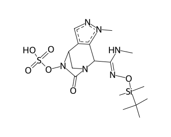 CN/C(=N\O[Si](C)(C)C(C)(C)C)C1c2c(cnn2C)C2CN1C(=O)N2OS(=O)(=O)O